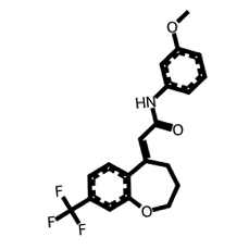 COc1cccc(NC(=O)/C=C2\CCCOc3cc(C(F)(F)F)ccc32)c1